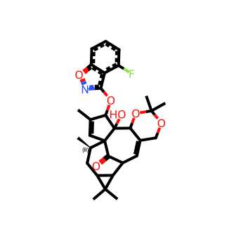 CC1=CC23C(=O)C(C=C4COC(C)(C)OC4C2(O)C1Oc1noc2cccc(F)c12)C1C(C[C@H]3C)C1(C)C